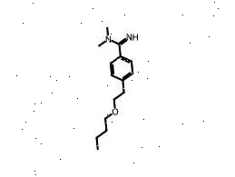 CCCCOCCc1ccc(C(=N)N(C)C)cc1